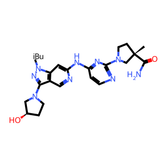 CCC(C)n1nc(N2CC[C@@H](O)C2)c2cnc(Nc3ccnc(N4CC[C@](C)(C(N)=O)C4)n3)cc21